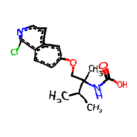 CC(C)C(C)(COc1ccc2c(Cl)nccc2c1)NC(=O)O